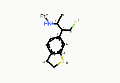 CCNC(C)C(CF)c1ccc2c(c1)SCC2